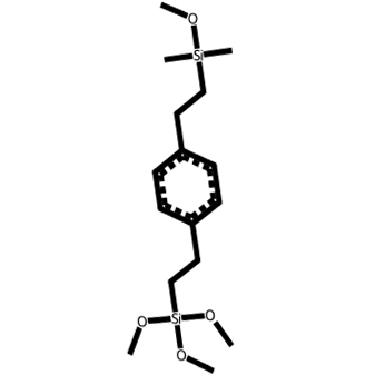 CO[Si](C)(C)CCc1ccc(CC[Si](OC)(OC)OC)cc1